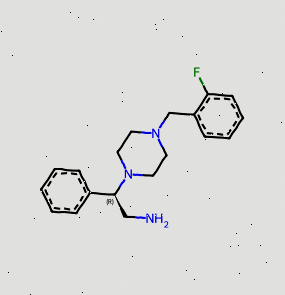 NC[C@@H](c1ccccc1)N1CCN(Cc2ccccc2F)CC1